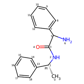 C[C@@H](NC(=O)C(N)c1ccccc1)c1ccccc1